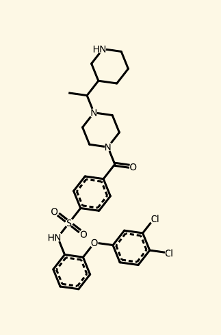 CC(C1CCCNC1)N1CCN(C(=O)c2ccc(S(=O)(=O)Nc3ccccc3Oc3ccc(Cl)c(Cl)c3)cc2)CC1